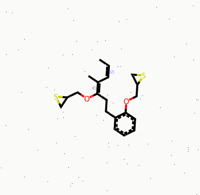 C/C=C\C(C)=C(/CCc1ccccc1OCC1CS1)OCC1CS1